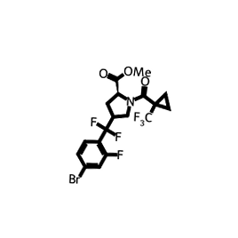 COC(=O)[C@@H]1CC(C(F)(F)c2ccc(Br)cc2F)CN1C(=O)C1(C(F)(F)F)CC1